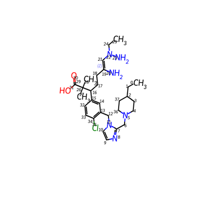 CCC1CCN(Cc2nccn2Cc2cc(C(CC/C(N)=C/N(N)CC)C(C)(C)C(=O)O)ccc2Cl)CC1